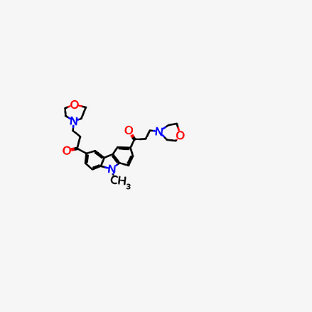 Cn1c2ccc(C(=O)CCN3CCOCC3)cc2c2cc(C(=O)CCN3CCOCC3)ccc21